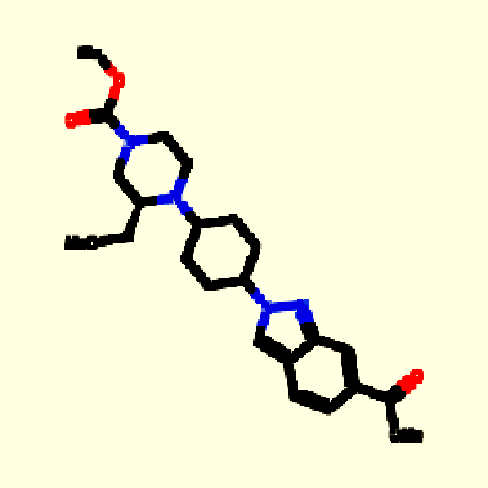 COC[C@H]1CN(C(=O)OC(C)(C)C)CCN1C1CCC(n2cc3ccc(C(=O)OC)cc3n2)CC1